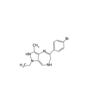 CCN1NC(C)=C2N=C(c3ccc(Br)cc3)CNC=C21